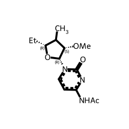 CC[C@H]1O[C@@H](n2ccc(NC(C)=O)nc2=O)[C@@H](OC)C1C